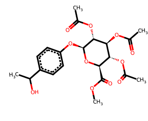 COC(=O)[C@H]1O[C@@H](Oc2ccc(C(C)O)cc2)[C@H](OC(C)=O)[C@@H](OC(C)=O)[C@@H]1OC(C)=O